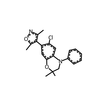 Cc1noc(C)c1-c1cc2c(cc1Cl)N(c1ccccc1)CC(C)(C)O2